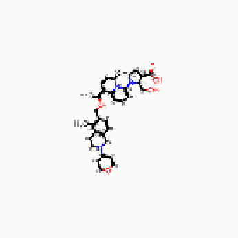 C=C/C=C\C(=C(/C)OCc1ccc2c(c1C)CCN(C1CCOCC1)C2)c1cccc(N2CCC(C(=O)O)C2CO)n1